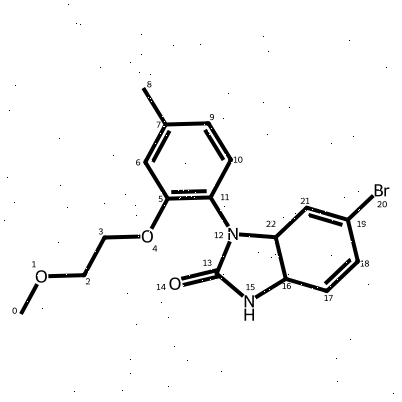 COCCOc1cc(C)ccc1N1C(=O)NC2C=CC(Br)=CC21